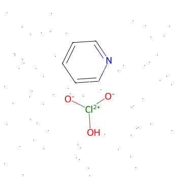 [O-][Cl+2]([O-])O.c1ccncc1